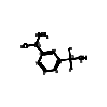 CC(C)(O)c1cccc([S+](N)[O-])c1